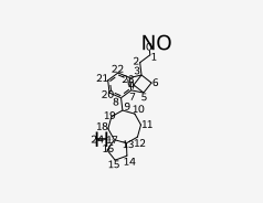 O=NCCC12CC(C1)c1c(C3CCCC4CCC[C@H]4CC3)cccc12